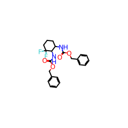 O=C(NC1CCCC(F)(F)[C@@H]1NC(=O)OCc1ccccc1)OCc1ccccc1